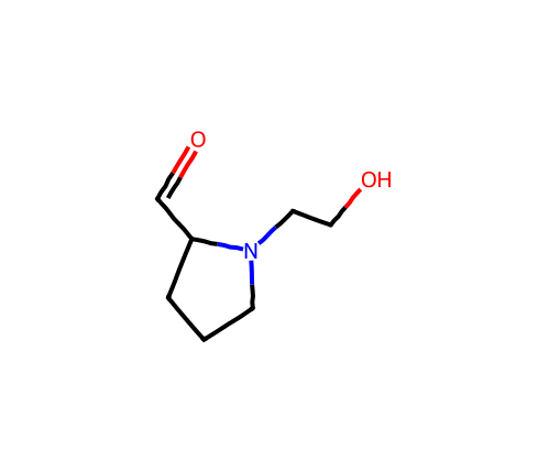 O=CC1CCCN1CCO